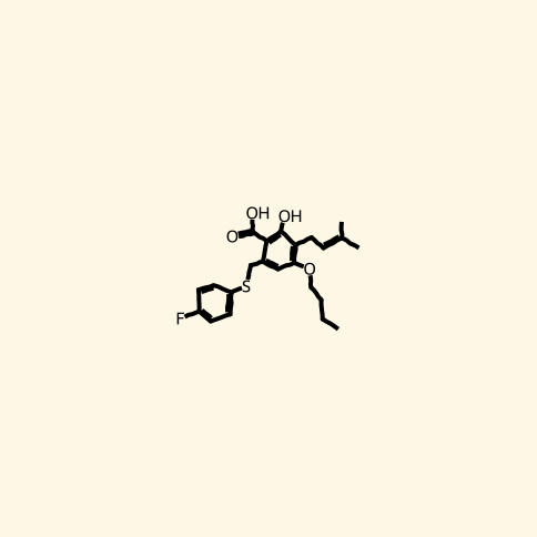 CCCCOc1cc(CSc2ccc(F)cc2)c(C(=O)O)c(O)c1CC=C(C)C